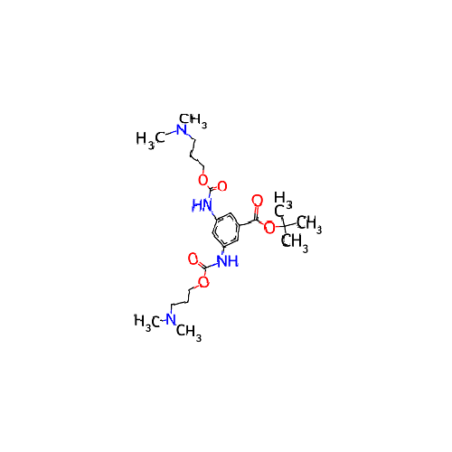 CN(C)CCCOC(=O)Nc1cc(NC(=O)OCCCN(C)C)cc(C(=O)OC(C)(C)C)c1